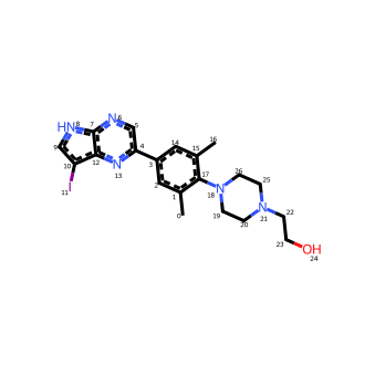 Cc1cc(-c2cnc3[nH]cc(I)c3n2)cc(C)c1N1CCN(CCO)CC1